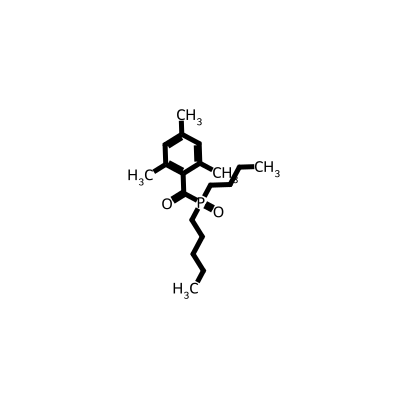 CCCCCP(=O)(CCCC)C(=O)c1c(C)cc(C)cc1C